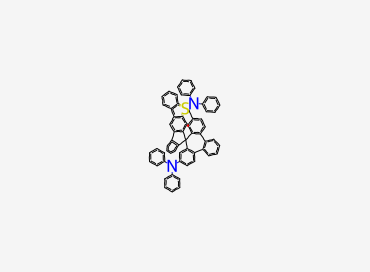 c1ccc(N(Cc2ccc3c(c2)C2(c4cc(N(c5ccccc5)c5ccccc5)ccc4-c4ccccc4-3)c3ccccc3-c3cc4c(cc32)sc2ccccc24)c2ccccc2)cc1